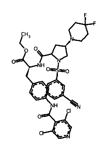 CCOC(=O)[C@H](Cc1ccc(NC(=O)c2c(Cl)cncc2Cl)cc1)NC(=O)C1C[C@@H](N2CCC(F)(F)CC2)CN1S(=O)(=O)c1cccc(C#N)c1